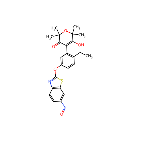 CCc1ccc(Oc2nc3ccc(N=O)cc3s2)cc1C1=C(O)C(C)(C)OC(C)(C)C1=O